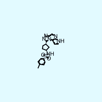 Cc1ccc(S(=O)(=O)N[C@H]2CC[C@@H](c3nnc4cnc5[nH]ccc5n34)C2)cc1